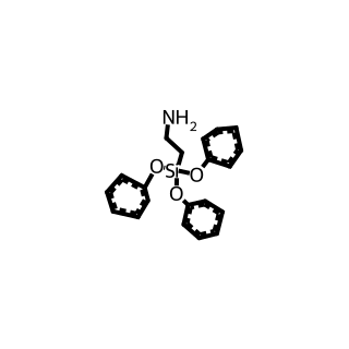 NCC[Si](Oc1ccccc1)(Oc1ccccc1)Oc1ccccc1